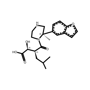 CC(C)C[C@H](C(=O)N1CCNC[C@@]1(C)c1ccc2occc2c1)[C@H](O)C(=O)O